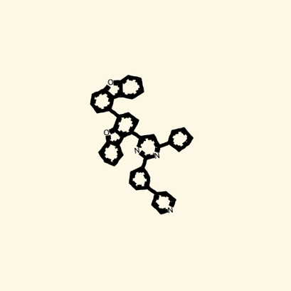 c1ccc(-c2cc(-c3ccc(-c4cccc5oc6ccccc6c45)c4oc5ccccc5c34)nc(-c3cccc(-c4ccncc4)c3)n2)cc1